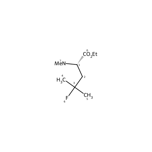 CCOC(=O)[C@H](CC(C)(C)F)NC